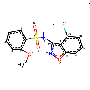 COc1ccccc1S(=O)(=O)Nc1noc2cccc(F)c12